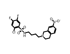 O=[N+]([O-])c1ccc2c(c1)CN(CCCCNS(=O)(=O)c1cc(F)c(F)cc1Cl)CC2